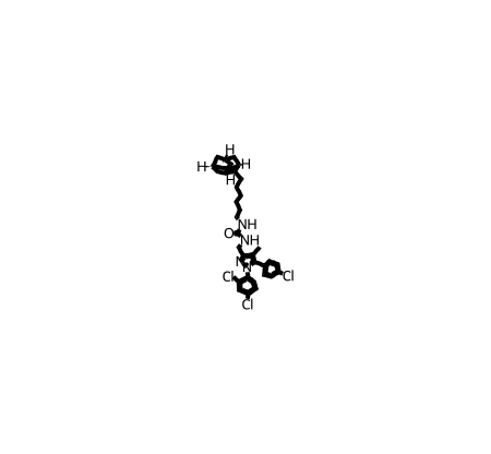 Cc1c(CNC(=O)NCCCCCCC2[C@H]3C[C@@H]4C[C@@H](C[C@H]2C4)C3)nn(-c2ccc(Cl)cc2Cl)c1-c1ccc(Cl)cc1